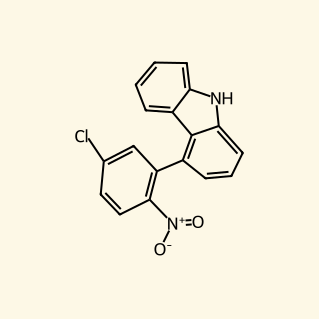 O=[N+]([O-])c1ccc(Cl)cc1-c1cccc2[nH]c3ccccc3c12